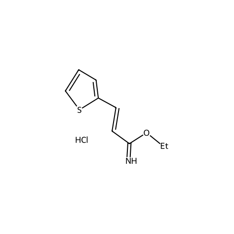 CCOC(=N)/C=C/c1cccs1.Cl